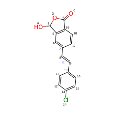 O=C1OC(O)c2cc(/C=C/c3ccc(Cl)cc3)ccc21